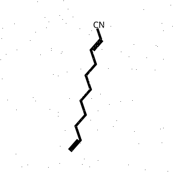 C=CCCCCCCC=CC#N